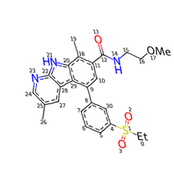 CCS(=O)(=O)c1cccc(-c2cc(C(=O)NCCOC)c(C)c3[nH]c4ncc(C)cc4c23)c1